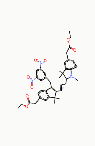 CCOC(=O)Cc1ccc2c(c1)C(C)(C)C(/C=C/CC1N(C)c3ccc(CC(=O)OCC)cc3C1(C)C)=C2Cc1cc([N+](=O)[O-])cc([N+](=O)[O-])c1